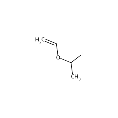 C=COC(C)I